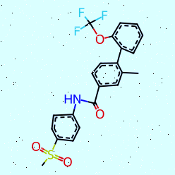 Cc1cc(C(=O)Nc2ccc(S(C)(=O)=O)cc2)ccc1-c1ccccc1OC(F)(F)F